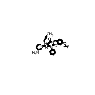 CC#CCn1c(N2CCC[C@@H](N)C2)nc2c1c(=O)n(Cc1ccc(OC(F)F)cc1)c(=O)n2-c1ccccc1